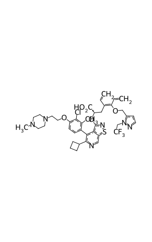 C=C/C(C[C@@H](Oc1nsc2cnc(C3CCC3)c(-c3ccc(OCCN4CCN(C)CC4)c(Cl)c3C)c12)C(=O)O)=C(\C=C)OCc1ccnn1CC(F)(F)F